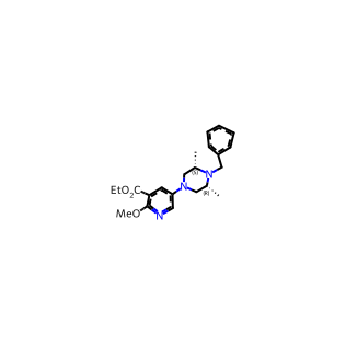 CCOC(=O)c1cc(N2C[C@@H](C)N(Cc3ccccc3)[C@@H](C)C2)cnc1OC